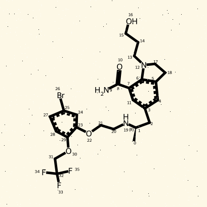 C[C@H](Cc1cc2c(c(C(N)=O)c1)N(CCCO)CC2)NCCOc1cc(Br)ccc1OCC(F)(F)F